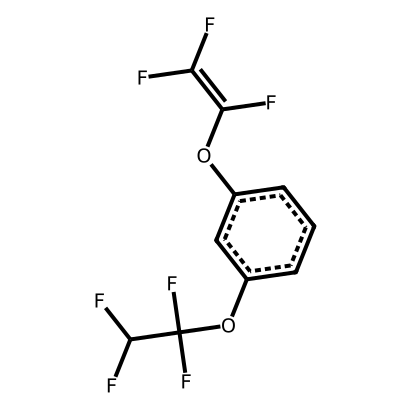 FC(F)=C(F)Oc1cccc(OC(F)(F)C(F)F)c1